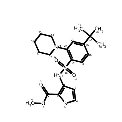 COC(=O)c1sccc1NS(=O)(=O)c1ccc(C(C)(C)C)cc1N1CCCCC1